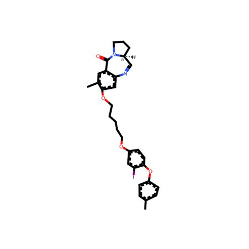 Cc1ccc(Oc2ccc(OCCCCCOc3cc4c(cc3C)C(=O)N3CCC[C@H]3C=N4)cc2I)cc1